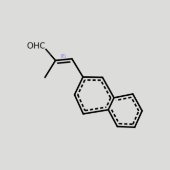 C/C(C=O)=C\c1ccc2ccccc2c1